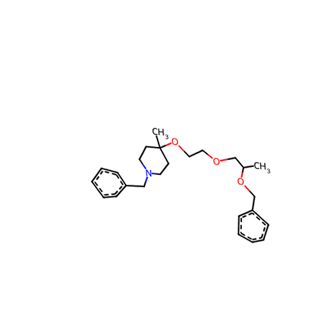 CC(COCCOC1(C)CCN(Cc2ccccc2)CC1)OCc1ccccc1